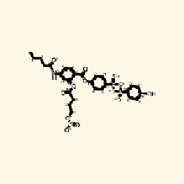 CCCCC(=O)Nc1ccc(C(=O)Oc2ccc(P3(=S)SP(=S)(c4ccc(O)cc4)S3)cc2)c(OC(=O)CCCO[N+](=O)[O-])c1